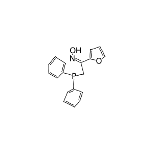 ON=C(CP(c1ccccc1)c1ccccc1)c1ccco1